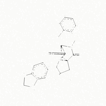 CN1C(=O)C23C[C@](C)(C#N)[C@H](c4ccc5c(c4)OCO5)N2C(=O)[C@@]1(Cc1ccccc1)SS3